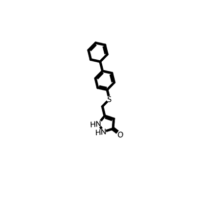 O=c1cc(CSc2ccc(C3C=CC=CC3)cc2)[nH][nH]1